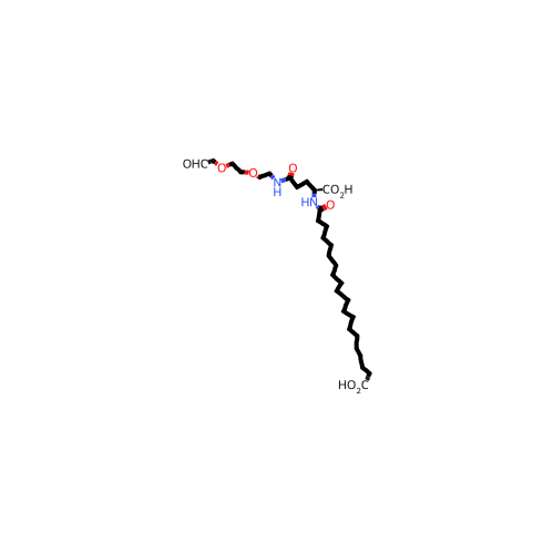 O=CCOCCOCCNC(=O)CC[C@H](NC(=O)CCCCCCCCCCCCCCCCCCC(=O)O)C(=O)O